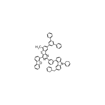 Cc1cc(-c2cc(-c3ccccc3)cc(-c3ccccc3)c2)cc2c1sc1c(-c3cccc4c3oc3ccccc34)nc(-c3cccc(-c4cccc5c4c4cc(CC6C=CC=CC6)ccc4n5C4=CC=CCC4)c3)nc12